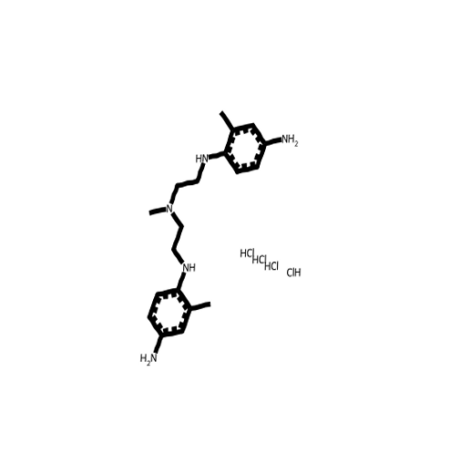 Cc1cc(N)ccc1NCCN(C)CCNc1ccc(N)cc1C.Cl.Cl.Cl.Cl